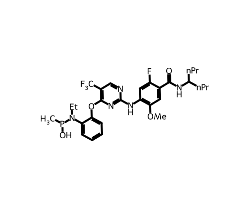 CCCC(CCC)NC(=O)c1cc(OC)c(Nc2ncc(C(F)(F)F)c(Oc3ccccc3N(CC)P(C)O)n2)cc1F